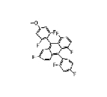 COc1cc(F)c(-c2c3cc(F)ccc3c(-c3ccc(F)cc3F)c3c(F)ccc(F)c23)c(F)c1